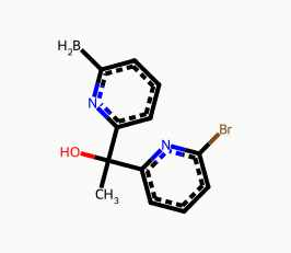 Bc1cccc(C(C)(O)c2cccc(Br)n2)n1